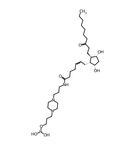 CCCCCCCC(=O)CC[C@@H]1[C@@H](C/C=C\CCCC(=O)NCCCN2CCN(CCCON(O)O)CC2)[C@@H](O)C[C@H]1O